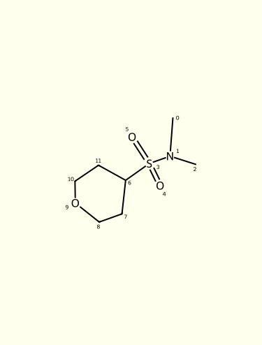 CN(C)S(=O)(=O)C1CCOCC1